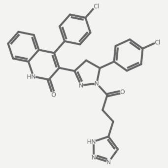 O=C(CCc1cnn[nH]1)N1N=C(c2c(-c3ccc(Cl)cc3)c3ccccc3[nH]c2=O)CC1c1ccc(Cl)cc1